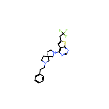 FC(F)(F)Cc1cc2c(N3CC[C@]4(CCN(CCc5ccccc5)C4)C3)ncnc2s1